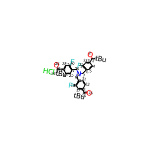 CC(C)(C)C(=O)c1ccc(CN(Cc2ccc(C(=O)C(C)(C)C)cc2F)Cc2ccc(C(=O)C(C)(C)C)cc2F)c(F)c1.Cl